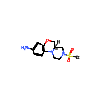 CCS(=O)(=O)N1CCN2c3ccc(N)cc3OC[C@H]2C1